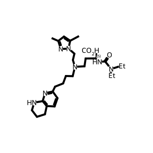 CCN(CC)C(=O)N[C@@H](CCN(CCCCc1ccc2c(n1)NCCC2)CCn1nc(C)cc1C)C(=O)O